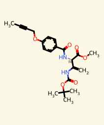 C=C(NC(=O)OC(C)(C)C)[C@H](NC(=O)c1ccc(OCC#CC)cc1)C(=O)OC